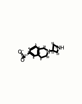 O=[N+]([O-])c1ccc2c(c1)CCN(C1CNC1)C2